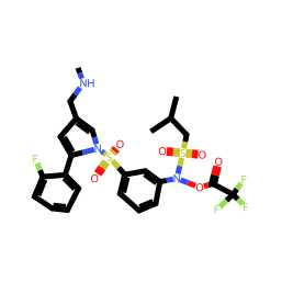 CNCc1cc(-c2ccccc2F)n(S(=O)(=O)c2cccc(N(OC(=O)C(F)(F)F)S(=O)(=O)CC(C)C)c2)c1